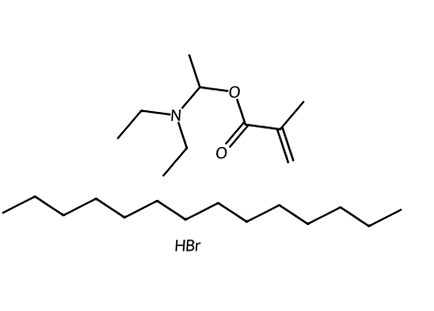 Br.C=C(C)C(=O)OC(C)N(CC)CC.CCCCCCCCCCCCCC